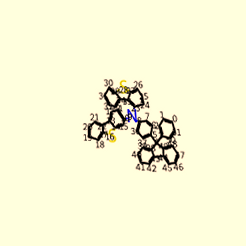 c1ccc(C2(c3ccc(N(c4ccc5c(c4)sc4ccccc45)c4cccc5sc6ccccc6c45)cc3)c3ccccc3-c3ccccc32)cc1